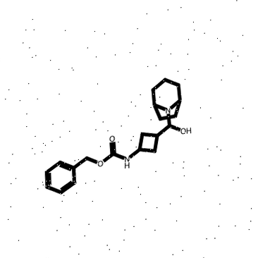 O=C(NC1CC(C(O)N2C3CCCC2CC3)C1)OCc1ccccc1